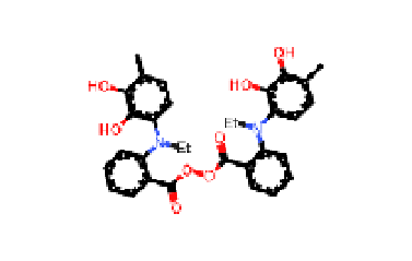 CCN(c1ccccc1C(=O)OOC(=O)c1ccccc1N(CC)c1ccc(C)c(O)c1O)c1ccc(C)c(O)c1O